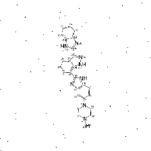 CC(C)N1CCN(c2ccc3[nH]c(-c4cccc5c(-c6nc7ccccc7[nH]6)n[nH]c45)nc3c2)CC1